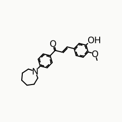 COc1ccc(C=CC(=O)c2ccc(N3CCCCCC3)cc2)cc1O